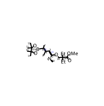 C=N/C(=C\C(C)=C(/C)B1OC(C)(C)C(C)(C)O1)OCC(CC)(CC)C(=O)OC